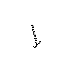 S=PP(P=S)P=S=S=S=S=S=S=S=S